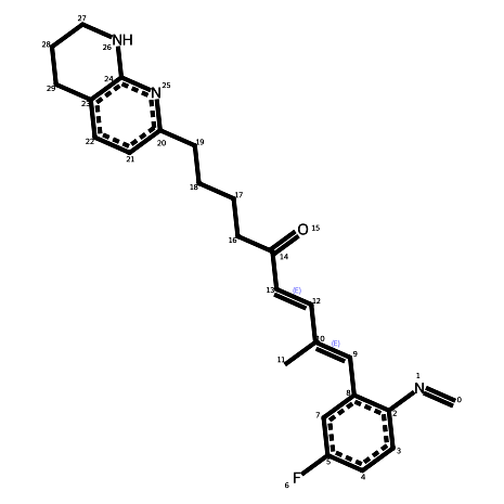 C=Nc1ccc(F)cc1/C=C(C)/C=C/C(=O)CCCCc1ccc2c(n1)NCCC2